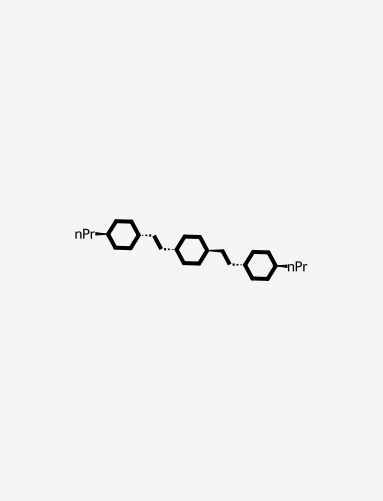 CCC[C@H]1CC[C@H](CC[C@H]2CC[C@H](CC[C@H]3CC[C@H](CCC)CC3)CC2)CC1